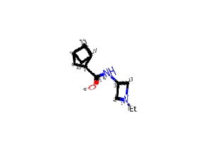 CCN1CC(NC(=O)C2CC3CC2C3)C1